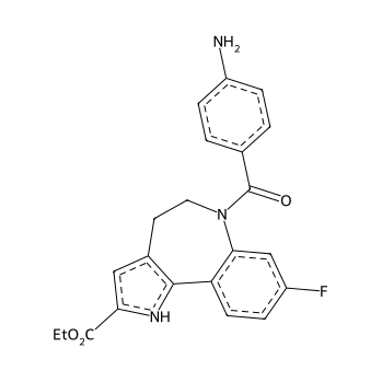 CCOC(=O)c1cc2c([nH]1)-c1ccc(F)cc1N(C(=O)c1ccc(N)cc1)CC2